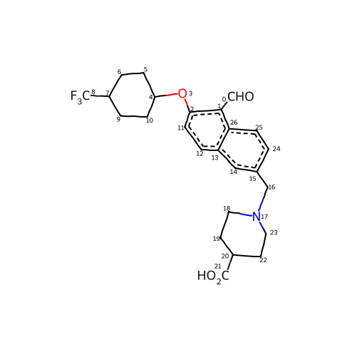 O=Cc1c(OC2CCC(C(F)(F)F)CC2)ccc2cc(CN3CCC(C(=O)O)CC3)ccc12